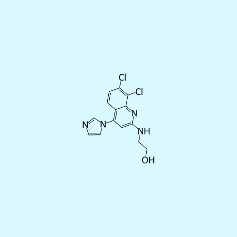 OCCNc1cc(-n2ccnc2)c2ccc(Cl)c(Cl)c2n1